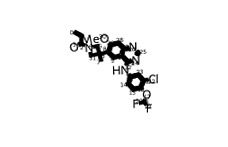 C=CC(=O)N1CC(C)(c2cc3c(Nc4ccc(OC(F)F)c(Cl)c4)ncnc3cc2OC)C1